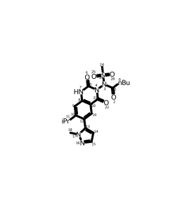 CCCCC(=O)N(n1c(=O)[nH]c2cc(C(C)C)c(-c3ccnn3C)cc2c1=O)S(C)(=O)=O